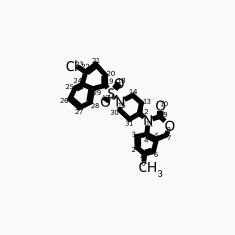 Cc1ccc2c(c1)COC(=O)N2C1CCN(S(=O)(=O)c2ccc(Cl)c3ccccc23)CC1